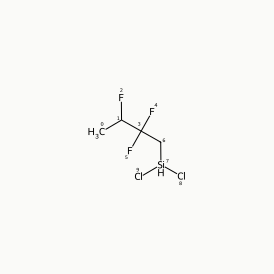 CC(F)C(F)(F)C[SiH](Cl)Cl